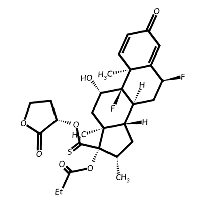 CCC(=O)O[C@@]1(C(=S)O[C@H]2CCOC2=O)[C@@H](C)C[C@H]2[C@@H]3C[C@H](F)C4=CC(=O)C=C[C@]4(C)[C@@]3(F)[C@@H](O)C[C@@]21C